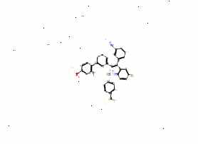 N#Cc1cccc(-c2c(C3=CCCC(c4ccc(C(=O)O)cc4Cl)=C3)n(Sc3ccc(C(F)F)cc3)c3ccc(F)cc23)c1